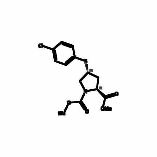 COC(=O)[C@@H]1C[C@@H](Sc2ccc(Cl)cc2)CN1C(=O)OC(C)(C)C